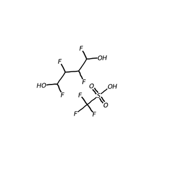 O=S(=O)(O)C(F)(F)F.OC(F)C(F)C(F)C(O)F